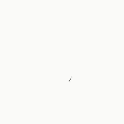 C1=Cc2ccc3c4c(ccc3c2CC1)[C@H](c1ccccc1)CC=C4